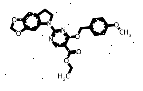 CCOC(=O)c1cnc(N2CCc3cc4c(cc32)OCO4)nc1OCc1ccc(OC)cc1